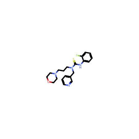 Fc1ccccc1NC(=S)N(CCCN1CCOCC1)Cc1cccnc1